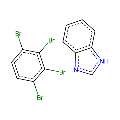 Brc1ccc(Br)c(Br)c1Br.c1ccc2[nH]cnc2c1